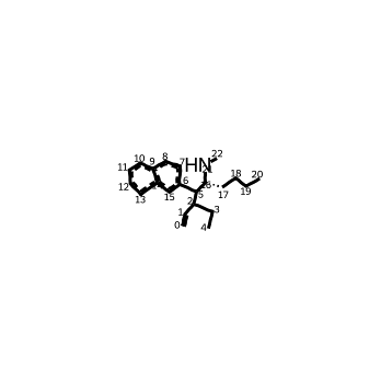 C=CC(CC)C(c1ccc2ccccc2c1)[C@@H](CCCC)NC